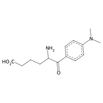 CN(C)c1ccc(C(=O)C(N)CCCC(=O)O)cc1